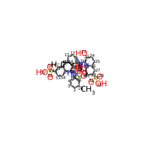 Cc1ccc2c(NC(=O)Nc3c4ccc(C)c3S(=O)(=O)N4c3c(O)ccc4cc(S(=O)(=O)O)ccc34)c1S(=O)(=O)N2c1c(O)ccc2cc(S(=O)(=O)O)ccc12